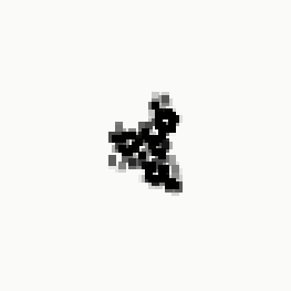 COc1cccc(-c2sc(C)nc2C(=O)N2CC(F)(F)C[C@@H](C)[C@H]2CNc2cnc(C(F)(F)F)cn2)c1